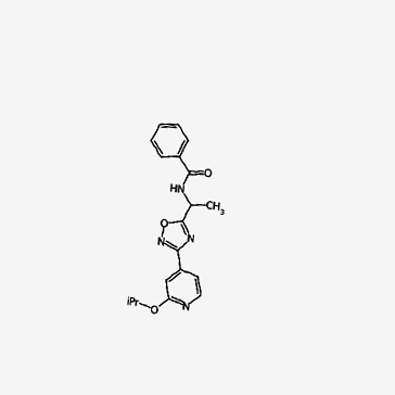 CC(C)Oc1cc(-c2noc(C(C)NC(=O)c3ccccc3)n2)ccn1